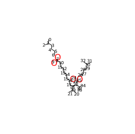 CC(C)CCCCOC(=O)CCCCCCCCC(C(C)C)C(C(=O)OCCCCC(C)C)C(C)C